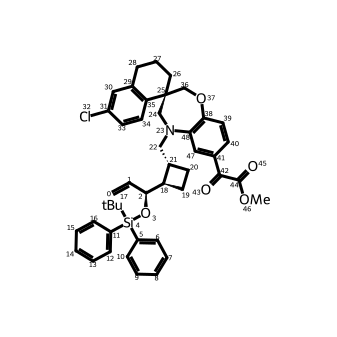 C=C[C@H](O[Si](c1ccccc1)(c1ccccc1)C(C)(C)C)[C@@H]1CC[C@H]1CN1C[C@@]2(CCCc3cc(Cl)ccc32)COc2ccc(C(=O)C(=O)OC)cc21